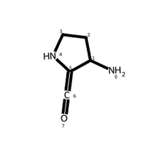 NC1CCNC1=C=O